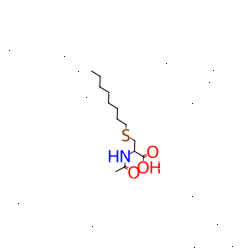 CCCCCCCCSCC(NC(C)=O)C(=O)O